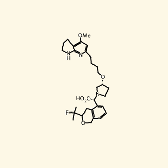 COc1cc(CCCCO[C@@H]2CCN([C@@H](C(=O)O)c3cccc4c3CC(C(C)(C)F)OC4)C2)nc2c1CCCN2